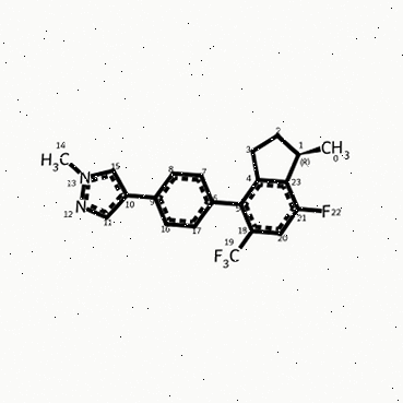 C[C@@H]1CCc2c(-c3ccc(-c4cnn(C)c4)cc3)c(C(F)(F)F)cc(F)c21